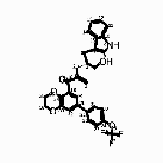 C=C(C[C@@H](CO)Cc1c[nH]c2ccccc12)C(=O)c1cc(-c2ccc(OC(F)(F)F)cc2)cc2c1OCCO2